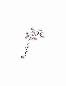 CCCCCCCCCCC(CC(C(Cc1ccccc1C=O)OCC)[N+](=O)[O-])[N+](=O)[O-]